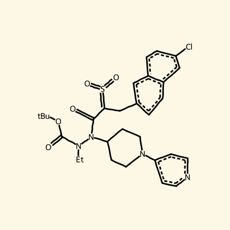 CCN(C(=O)OC(C)(C)C)N(C(=O)C(Cc1ccc2cc(Cl)ccc2c1)=S(=O)=O)C1CCN(c2ccncc2)CC1